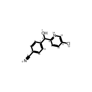 N#Cc1ccc(C(O)c2ccc(Cl)cn2)cc1